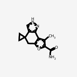 Cc1c(C(N)=O)oc2c1-c1n[nH]cc1C1(CC1)C2